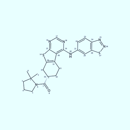 CC1(C)CCCN1C(=O)[C@H]1CCc2c(sc3ncnc(Nc4ccc5nnsc5c4)c23)C1